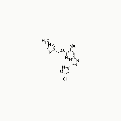 CCCCc1cc2nnc(-c3cc(C)on3)n2nc1OCc1ncn(C)n1